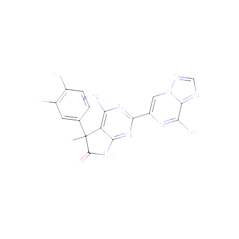 CCCCc1nc(-c2nc(N)c3c(n2)NC(=O)C3(C)c2ccc(Cl)c(F)c2)cn2ncnc12